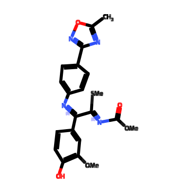 COC(=O)/N=C(SC)/C(=N\c1ccc(-c2noc(C)n2)cc1)c1ccc(O)c(OC)c1